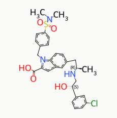 C[C@H](Cc1ccc2c(c1)cc(C(=O)O)n2Cc1ccc(S(=O)(=O)N(C)C)cc1)NC[C@@H](O)c1cccc(Cl)c1